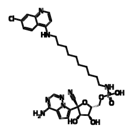 N#C[C@@]1(c2ccc3c(N)ncnn23)O[C@H](COP(=O)(O)NCCCCCCCCCCNc2ccnc3cc(Cl)ccc23)[C@@H](O)[C@H]1O